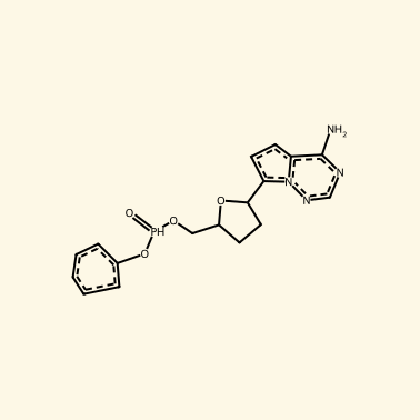 Nc1ncnn2c(C3CCC(CO[PH](=O)Oc4ccccc4)O3)ccc12